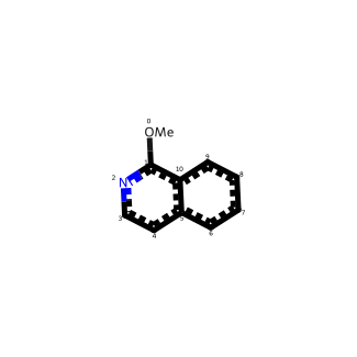 [CH2]Oc1nccc2ccccc12